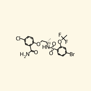 C[C@@H](COc1ccc(Cl)cc1C(N)=O)NS(=O)(=O)c1ccc(Br)cc1OC(C)(F)F